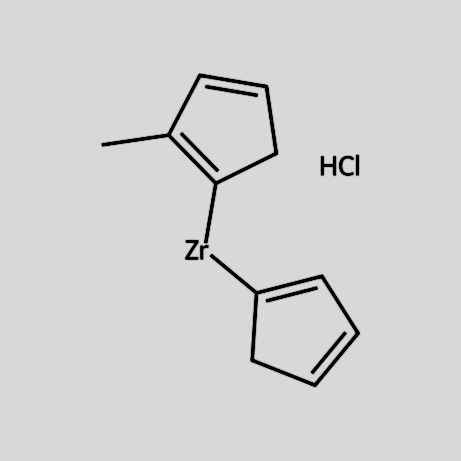 CC1=[C]([Zr][C]2=CC=CC2)CC=C1.Cl